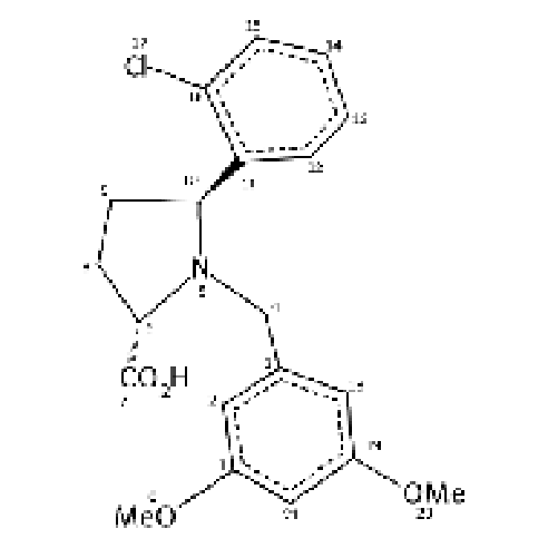 COc1cc(CN2[C@H](C(=O)O)CC[C@H]2c2ccccc2Cl)cc(OC)c1